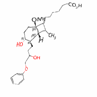 CO[C@]12CC[C@@H](O)[C@H](CCC(O)COc3ccccc3)[C@H]1C(C)C2=CCCCCC(=O)O